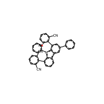 N#Cc1cccc(C#N)c1-c1cccc2c3cc(-c4ccccc4)cc(-c4c(C#N)cccc4C#N)c3n(-c3ccccc3)c12